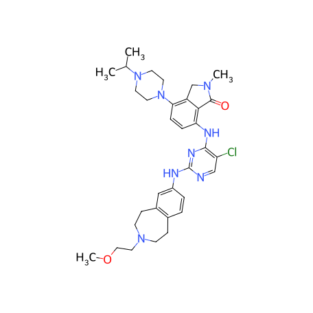 COCCN1CCc2ccc(Nc3ncc(Cl)c(Nc4ccc(N5CCN(C(C)C)CC5)c5c4C(=O)N(C)C5)n3)cc2CC1